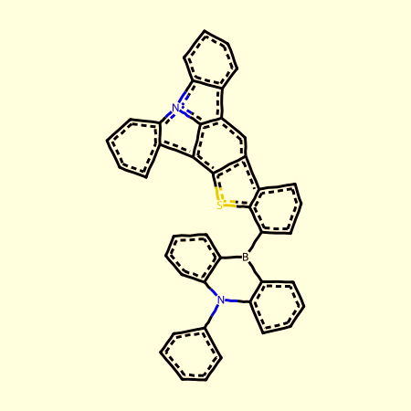 c1ccc(N2c3ccccc3B(c3cccc4c3sc3c4cc4c5ccccc5n5c6ccccc6c3c45)c3ccccc32)cc1